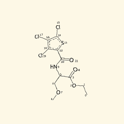 CCOC(=O)C(COC)NC(=O)c1sc(Cl)c(Cl)c1Cl